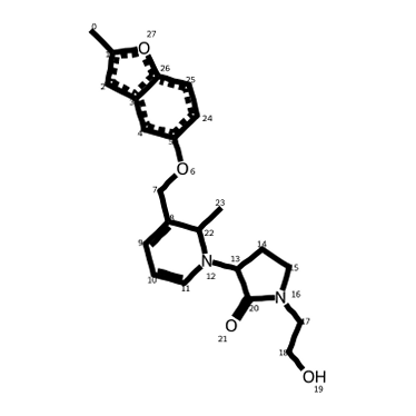 Cc1cc2cc(OCC3=CC=CN(C4CCN(CCO)C4=O)C3C)ccc2o1